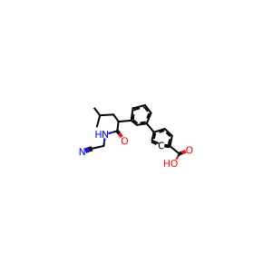 CC(C)CC(C(=O)NCC#N)c1cccc(-c2ccc(C(=O)O)cc2)c1